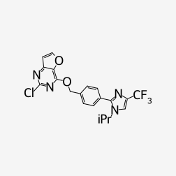 CC(C)n1cc(C(F)(F)F)nc1-c1ccc(COc2nc(Cl)nc3ccoc23)cc1